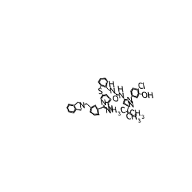 CC(C)(C)c1cc(NC(=O)NCc2ccccc2Sc2ccc3nnc(-c4cccc(CN5Cc6ccccc6C5)c4)n3c2)n(-c2ccc(Cl)c(O)c2)n1